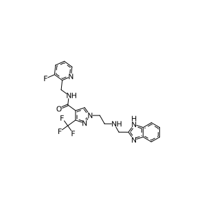 O=C(NCc1ncccc1F)c1cn(CCNCc2nc3ccccc3[nH]2)nc1C(F)(F)F